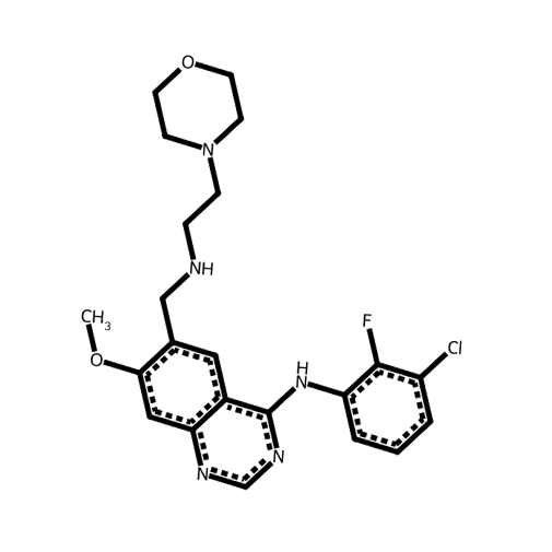 COc1cc2ncnc(Nc3cccc(Cl)c3F)c2cc1CNCCN1CCOCC1